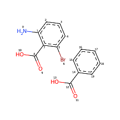 Nc1cccc(Br)c1C(=O)O.O=C(O)c1ccccc1